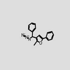 Cc1oc(-c2ccccc2)cc1C(N=[N+]=[N-])c1ccccc1